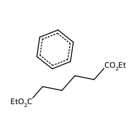 CCOC(=O)CCCCC(=O)OCC.c1ccccc1